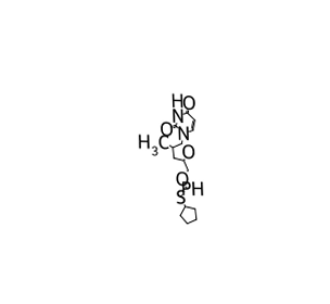 CC1CC(COPSC2CCCC2)OC1n1ccc(=O)[nH]c1=O